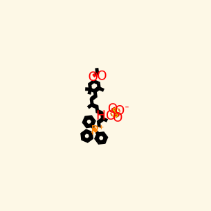 CC(=O)OC1CC(C)=C(C=CC(C)=CC=CC(C)=CC[P+](c2ccccc2)(c2ccccc2)c2ccccc2)C(C)(C)C1.O=S(=O)([O-])O